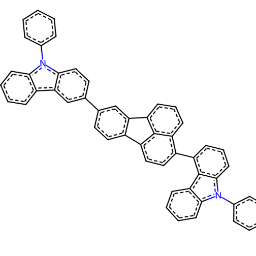 c1ccc(-n2c3ccccc3c3cc(-c4ccc5c(c4)-c4cccc6c(-c7cccc8c7c7ccccc7n8-c7ccccc7)ccc-5c46)ccc32)cc1